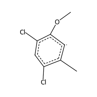 COc1[c]c(C)c(Cl)cc1Cl